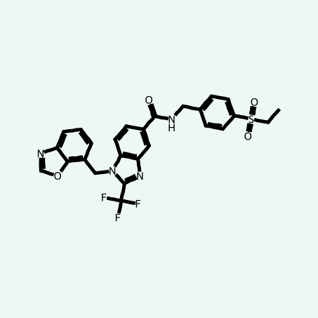 CCS(=O)(=O)c1ccc(CNC(=O)c2ccc3c(c2)nc(C(F)(F)F)n3Cc2cccc3ncoc23)cc1